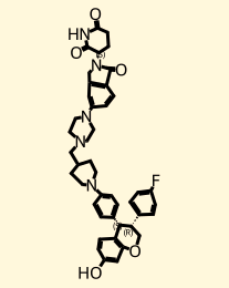 O=C1CC[C@H](N2Cc3cc(N4CCN(CC5CCN(c6ccc([C@H]7c8ccc(O)cc8OC[C@H]7c7ccc(F)cc7)cc6)CC5)CC4)ccc3C2=O)C(=O)N1